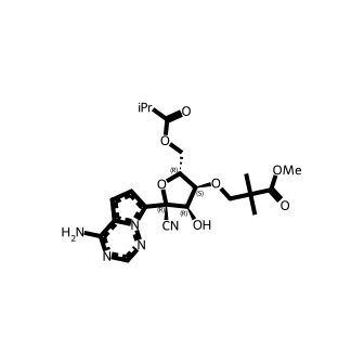 COC(=O)C(C)(C)CO[C@H]1[C@@H](O)[C@](C#N)(c2ccc3c(N)ncnn23)O[C@@H]1COC(=O)C(C)C